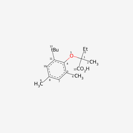 CCC(C)(Oc1c(C)cc(C)cc1C(C)(C)C)C(=O)O